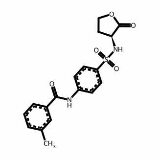 Cc1cccc(C(=O)Nc2ccc(S(=O)(=O)N[C@H]3CCOC3=O)cc2)c1